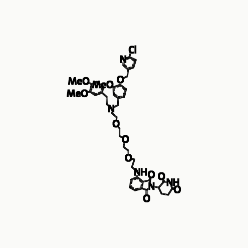 COc1ccc(CCN(CCOCCOCCOCCNc2cccc3c2C(=O)N(C2CCC(=O)NC2=O)C3=O)Cc2ccc(OCc3ccc(Cl)nc3)c(OC)c2)cc1OC